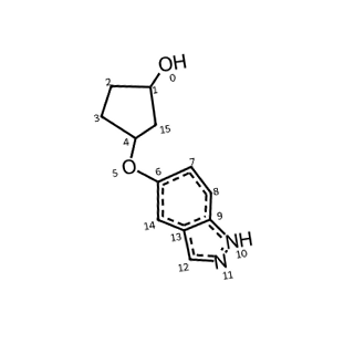 OC1CCC(Oc2ccc3[nH]ncc3c2)C1